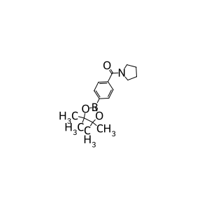 CC1(C)OB(c2ccc(C(=O)N3CCCC3)cc2)OC1(C)C